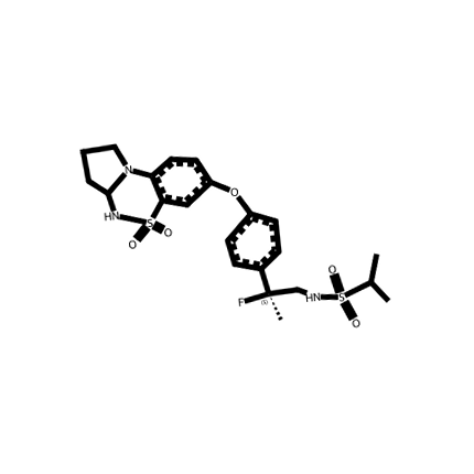 CC(C)S(=O)(=O)NC[C@@](C)(F)c1ccc(Oc2ccc3c(c2)S(=O)(=O)NC2CCCN32)cc1